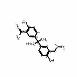 CCCCCCC(C)(c1ccc(O)c(COCC)c1)c1ccc(O)c(C(=O)CC)c1